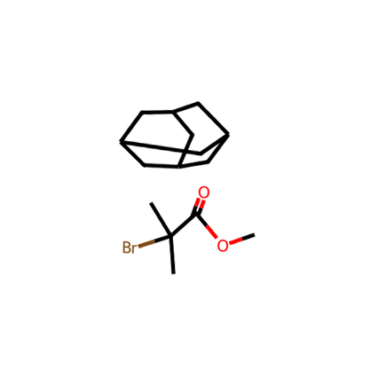 C1C2CC3CC1CC(C2)C3.COC(=O)C(C)(C)Br